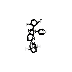 Fc1ccc(F)c(-c2nc3ccc(N4C[C@H]5CC[C@@H](C4)N5)nc3n2-c2ccncc2)c1